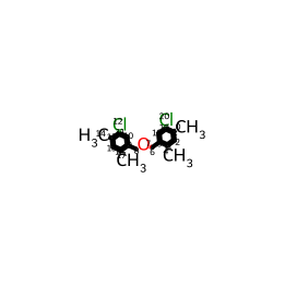 Cc1cc(C)c(COCc2cc(Cl)c(C)cc2C)cc1Cl